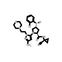 Cc1cc(N2C[C@H]([S+]([O-])c3ccccc3Cl)C[C@H]2C(=O)NC2(C#N)CC2)n(CCN2CCOCC2)n1